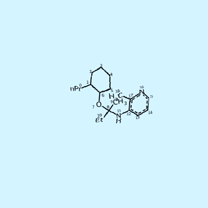 CCCC1CCCCC1OC(C)(CC)Nc1cccnc1C